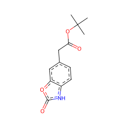 CC(C)(C)OC(=O)Cc1ccc2[nH]c(=O)oc2c1